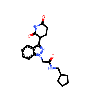 O=C(Cn1nc(C2CCC(=O)NC2=O)c2ccccc21)NCC1CCCC1